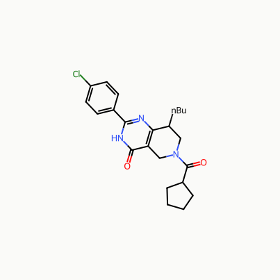 CCCCC1CN(C(=O)C2CCCC2)Cc2c1nc(-c1ccc(Cl)cc1)[nH]c2=O